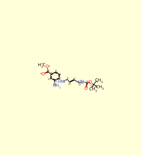 COC(=O)c1ccc(NC/C=C/CNC(=O)OC(C)(C)C)c(N)c1